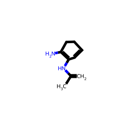 C=C(C)NC1=C(N)CCC=C1